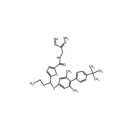 CCCC(Sc1cc(C)c(-c2ccc(C(C)(C)C)cc2)c(C)c1)c1ccc(C(=O)NC/C(N=N)=N/N)s1